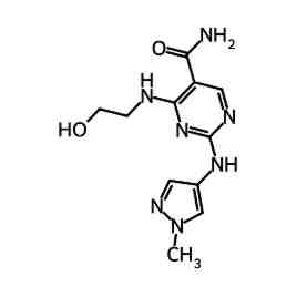 Cn1cc(Nc2ncc(C(N)=O)c(NCCO)n2)cn1